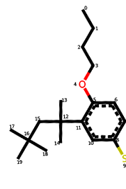 CCCCOc1ccc(S)cc1C(C)(C)CC(C)(C)C